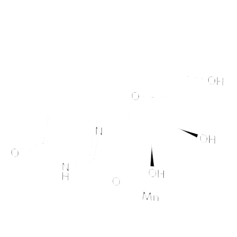 O=c1ccn([C@@H]2O[C@H](CO)[C@@H](O)[C@H]2O)c(=O)[nH]1.[Mn]